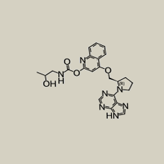 CC(O)CNC(=O)Oc1cc(OC[C@H]2CCCN2c2ncnc3[nH]cnc23)c2ccccc2n1